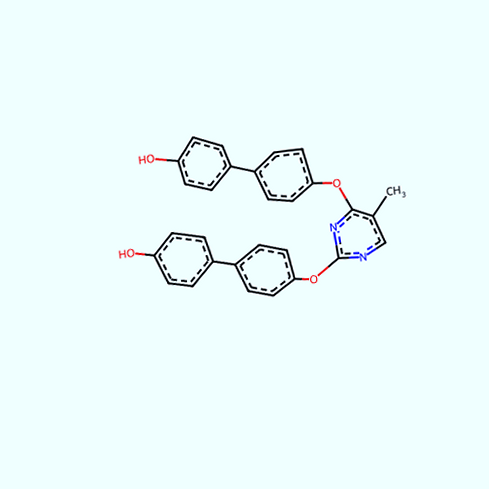 Cc1cnc(Oc2ccc(-c3ccc(O)cc3)cc2)nc1Oc1ccc(-c2ccc(O)cc2)cc1